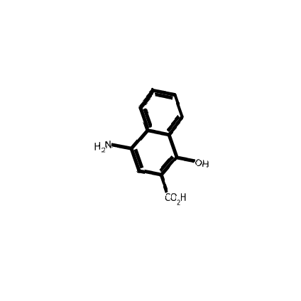 Nc1cc(C(=O)O)c(O)c2ccccc12